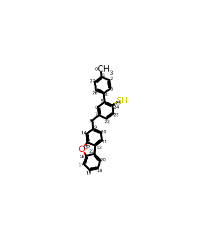 Cc1ccc(-c2cc(Cc3ccc4c(c3)oc3ccccc34)ccc2S)cc1